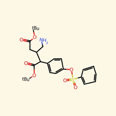 CC(C)(C)OC(=O)CC(CN)C(C(=O)OC(C)(C)C)c1ccc(OS(=O)(=O)c2ccccc2)cc1